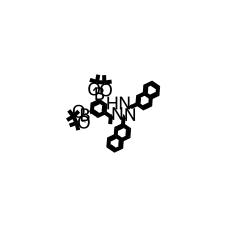 C/C(=N\C(=N/C(=N)c1ccc2ccccc2c1)c1ccc2ccccc2c1)c1cc(B2OC(C)(C)C(C)(C)O2)cc(B2OC(C)(C)C(C)(C)O2)c1